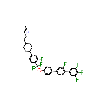 C/C=C/CCC1CCC(c2ccc(C(F)(F)Oc3ccc(-c4ccc(-c5cc(F)c(F)c(F)c5)c(F)c4)cc3)c(F)c2)CC1